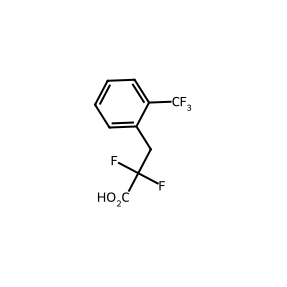 O=C(O)C(F)(F)Cc1ccccc1C(F)(F)F